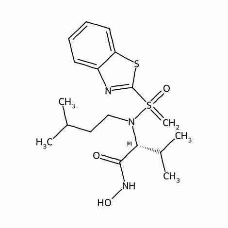 C=S(=O)(c1nc2ccccc2s1)N(CCC(C)C)[C@@H](C(=O)NO)C(C)C